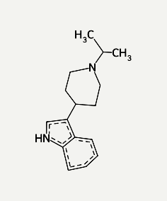 CC(C)N1CCC(c2c[nH]c3ccccc23)CC1